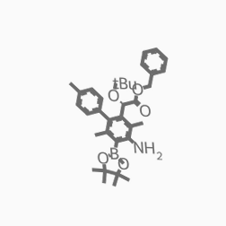 Cc1ccc(-c2c(C)c(B3OC(C)(C)C(C)(C)O3)c(N)c(C)c2[C@H](OC(C)(C)C)C(=O)OCc2ccccc2)cc1